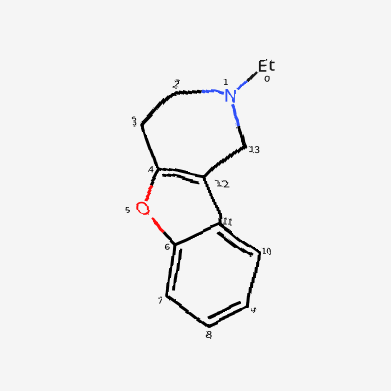 CCN1CCc2oc3ccccc3c2C1